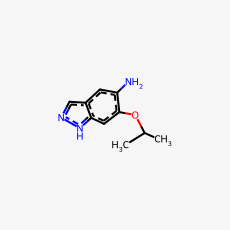 CC(C)Oc1cc2[nH]ncc2cc1N